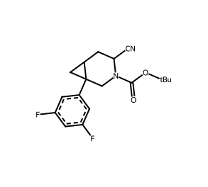 CC(C)(C)OC(=O)N1CC2(c3cc(F)cc(F)c3)CC2CC1C#N